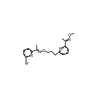 CO/N=C(\C)c1cccc(CCCO/N=C(\C)c2cccc(Br)n2)n1